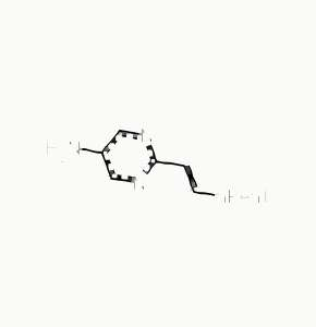 CCCCC/C=C/c1ncc(N)cn1